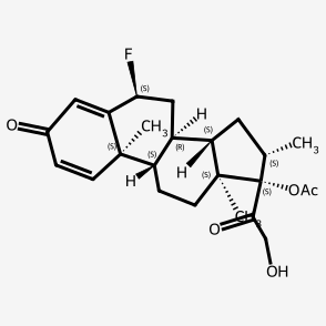 CC(=O)O[C@@]1(C(=O)CO)[C@@H](C)C[C@H]2[C@@H]3C[C@H](F)C4=CC(=O)C=C[C@]4(C)[C@H]3CC[C@@]21C